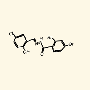 O=C(N/N=C/c1cc(Cl)ccc1O)c1ccc(Br)cc1Br